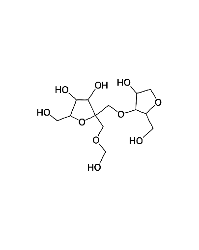 OCOCC1(COC2C(O)COC2CO)OC(CO)C(O)C1O